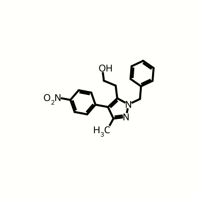 Cc1nn(Cc2ccccc2)c(CCO)c1-c1ccc([N+](=O)[O-])cc1